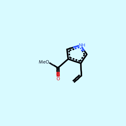 C=Cc1c[nH]cc1C(=O)OC